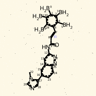 Bc1c(B)c(B)c(/C=C/C(=O)Nc2cc3cc(-c4cncn4C)ccc3nn2)c(B)c1B